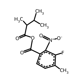 Cc1ccc(C(=O)OC(=O)C(C)C(C)C)c([N+](=O)[O-])c1F